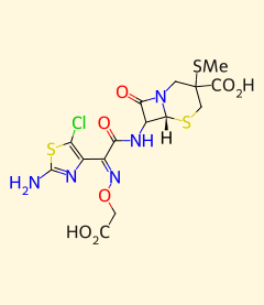 CSC1(C(=O)O)CS[C@@H]2C(NC(=O)C(=NOCC(=O)O)c3nc(N)sc3Cl)C(=O)N2C1